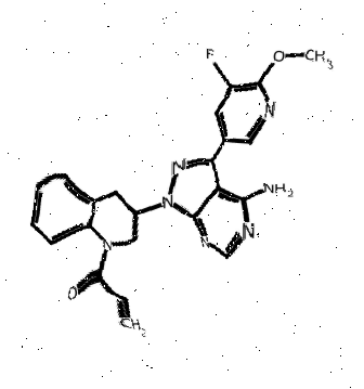 C=CC(=O)N1CC(n2nc(-c3cnc(OC)c(F)c3)c3c(N)ncnc32)Cc2ccccc21